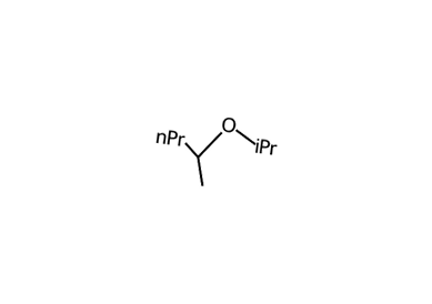 CCCC(C)OC(C)C